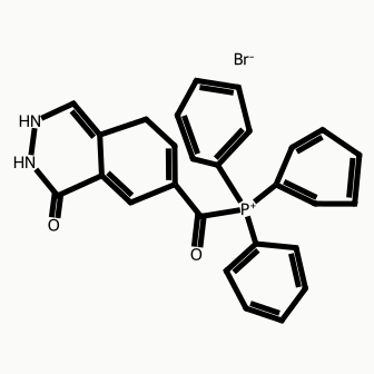 O=C1NNC=C2CC=C(C(=O)[P+](c3ccccc3)(c3ccccc3)c3ccccc3)C=C12.[Br-]